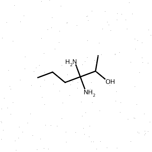 CCCC(N)(N)C(C)O